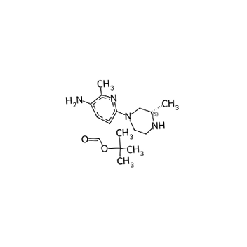 CC(C)(C)OC=O.Cc1nc(N2CCN[C@@H](C)C2)ccc1N